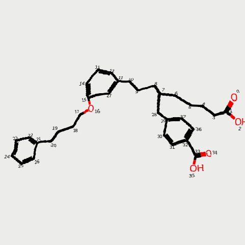 O=C(O)CCCCC(CCCc1cccc(OCCCCc2ccccc2)c1)Cc1ccc(C(=O)O)cc1